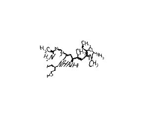 C=CC1=C(/C=C(\C)C(=N)C/C(=N\C=N/C(=C)N)NC(CI)CCOI)N(C)[C@H](N)O1